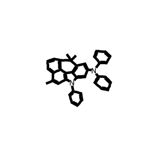 Cc1cc2c3c4c(cccc14)C(C)(C)c1cc(N(c4ccccc4)c4ccccc4)cc(c13)n2-c1ccccc1